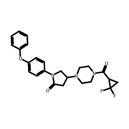 O=C(C1CC1(F)F)N1CCN(C2CC(=O)N(c3ccc(Oc4ccccc4)cc3)C2)CC1